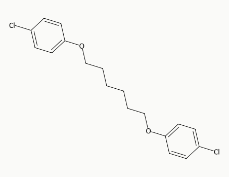 Clc1ccc(OCCCCCCOc2ccc(Cl)cc2)cc1